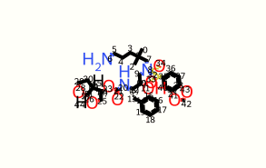 CC(C)(CCCN)CN(C[C@@H](O)[C@H](Cc1ccccc1)NC(=O)O[C@H]1CO[C@H]2OCC[C@H]21)S(=O)(=O)c1ccc2c(c1)OCO2